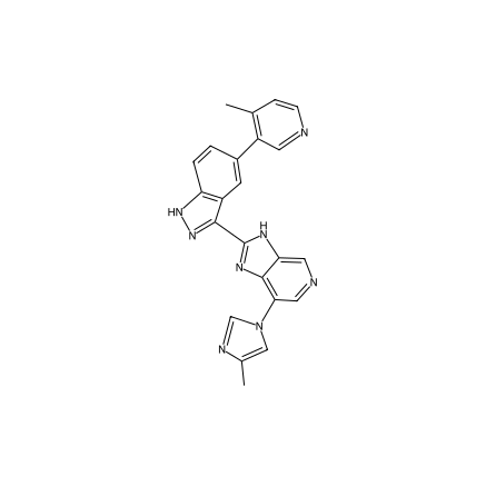 Cc1cn(-c2cncc3[nH]c(-c4n[nH]c5ccc(-c6cnccc6C)cc45)nc23)cn1